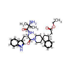 CCOC(=O)C[C@@H]1CC2(CCN(C(=O)[C@@H](Cc3c[nH]c4ccccc34)NC(=O)C(C)(C)N)CC2)c2ccccc21